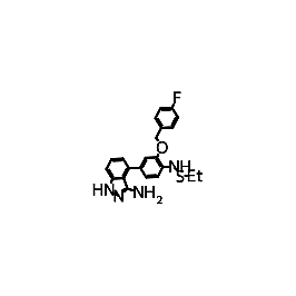 CCSNc1ccc(-c2cccc3[nH]nc(N)c23)cc1OCc1ccc(F)cc1